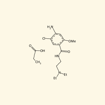 CCC(=O)O.CCN(CC)CCNC(=O)c1cc(Cl)c(N)cc1OC